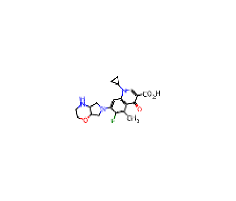 Cc1c(F)c(N2CC3NCCOC3C2)cc2c1c(=O)c(C(=O)O)cn2C1CC1